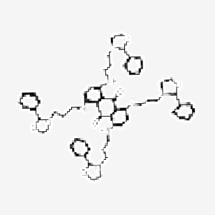 O=C1c2c(NCCCN3CCOC3c3ccccc3)ccc(NCCCN3CCOC3c3ccccc3)c2C(=O)c2c(NCCCN3CCOC3c3ccccc3)ccc(NCCCN3CCOC3c3ccccc3)c21